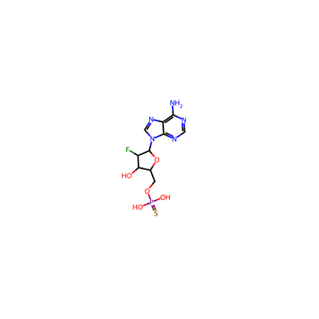 Nc1ncnc2c1ncn2C1OC(COP(O)(O)=S)C(O)C1F